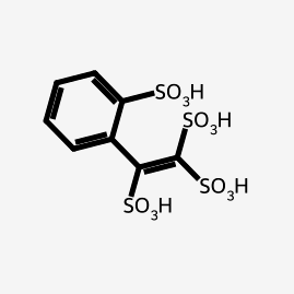 O=S(=O)(O)C(=C(S(=O)(=O)O)S(=O)(=O)O)c1ccccc1S(=O)(=O)O